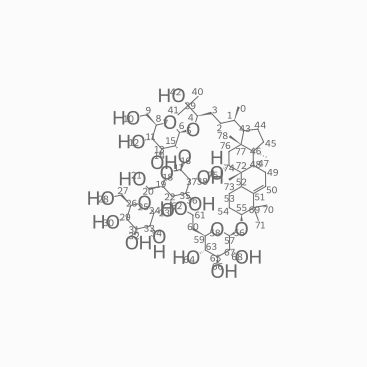 C[C@H](CC[C@@H](O[C@@H]1O[C@H](CO)[C@@H](O)[C@H](O)[C@H]1O[C@@H]1O[C@H](CO)[C@@H](O[C@H]2O[C@H](CO)[C@@H](O)[C@H](O)[C@H]2O)[C@H](O)[C@H]1O)C(C)(C)O)C1CC[C@@]2(C)C3CC=C4C(CC[C@H](O[C@@H]5O[C@H](CCO)[C@@H](O)[C@H](O)[C@H]5O)C4(C)C)[C@]3(C)[C@H](O)C[C@]12C